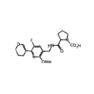 COc1nc(C2=COCCC2)c(F)cc1CNC(=O)C1CCCN1C(=O)O